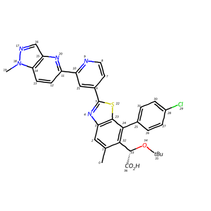 Cc1cc2nc(-c3ccnc(-c4ccc5c(cnn5C)n4)c3)sc2c(-c2ccc(Cl)cc2)c1[C@H](OC(C)(C)C)C(=O)O